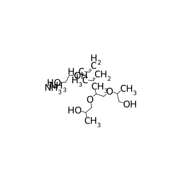 C=CC.C=CC.CC(O)COC(C)COC(C)CO.N.N.OCCO